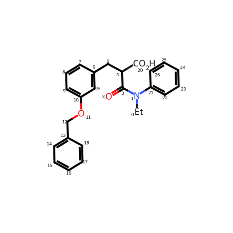 CCN(C(=O)C(Cc1cccc(OCc2ccccc2)c1)C(=O)O)c1ccccc1